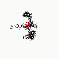 CCOC(=O)CO[C@@H](C(=O)O)[C@@H](OCCCCO[Si](c1ccccc1)(c1ccccc1)C(C)(C)C)C(=O)N(C)CCCCCc1ccc2ccccc2c1